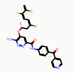 C=C(Cl)/C(F)=C\C=C(\Cl)C[C@@H](C)Oc1cc(C(=O)Nc2ccc(C(=O)c3ccncc3)cc2)nnc1N